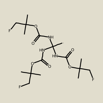 [CH2]C(NC(=O)OC(C)(C)CF)(NC(=O)OC(C)(C)CF)NC(=O)OC(C)(C)CF